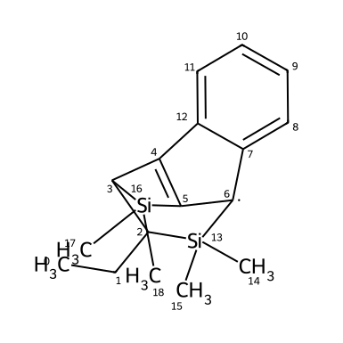 CCC1C2C3=C([C](c4ccccc43)[Si]1(C)C)[Si]2(C)C